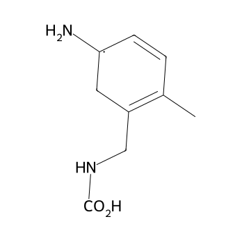 CC1=C(CNC(=O)O)C[C](N)C=C1